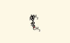 Cc1ccc(C2C=CC(c3ccc(S(N)(=O)=O)c(F)c3)=CC2=S)cc1